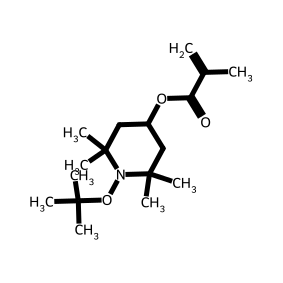 C=C(C)C(=O)OC1CC(C)(C)N(OC(C)(C)C)C(C)(C)C1